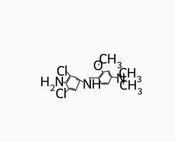 COc1cc(N(C)C)ccc1CNc1cc(Cl)c(N)c(Cl)c1